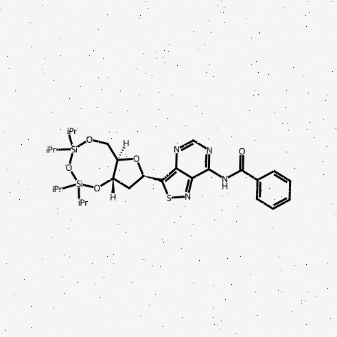 CC(C)[Si]1(C(C)C)OC[C@H]2O[C@@H](c3snc4c(NC(=O)c5ccccc5)ncnc34)C[C@@H]2O[Si](C(C)C)(C(C)C)O1